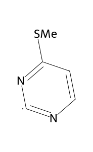 CSc1ccn[c]n1